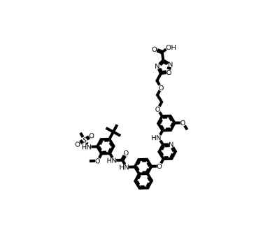 COc1cc(Nc2cc(Oc3ccc(NC(=O)Nc4cc(C(C)(C)C)cc(NS(C)(=O)=O)c4OC)c4ccccc34)ccn2)cc(OCCOCc2nc(C(=O)O)no2)c1